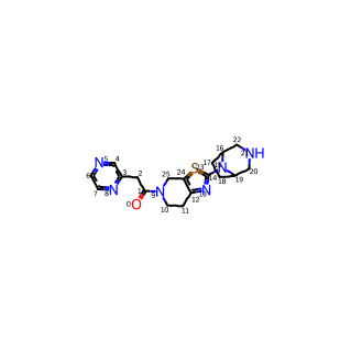 O=C(Cc1cnccn1)N1CCc2nc(N3C4CCC3CNC4)sc2C1